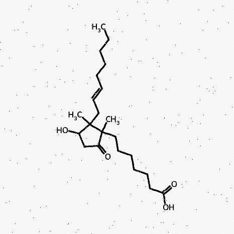 CCCCCC=CCC1(C)C(O)CC(=O)C1(C)CCCCCCC(=O)O